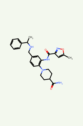 Cc1cc(C(=O)Nc2cc(CNC(C)c3ccccc3)ccc2N2CCC(C(N)=O)CC2)no1